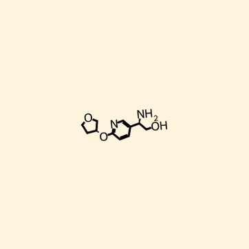 N[C@@H](CO)c1ccc(O[C@@H]2CCOC2)nc1